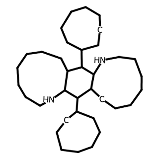 C1CCCC(C2C3CCCCCCCNC3C(C3CCCCCCC3)C3CCCCCCCNC32)CCC1